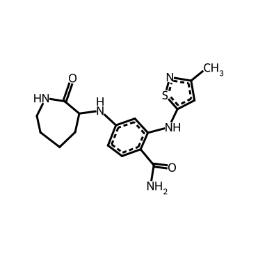 Cc1cc(Nc2cc(NC3CCCCNC3=O)ccc2C(N)=O)sn1